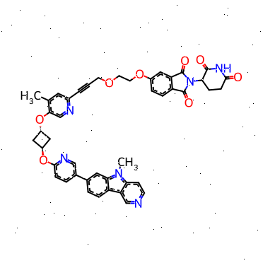 Cc1cc(C#CCOCCOc2ccc3c(c2)C(=O)N(C2CCC(=O)NC2=O)C3=O)ncc1O[C@H]1C[C@H](Oc2ccc(-c3ccc4c5cnccc5n(C)c4c3)cn2)C1